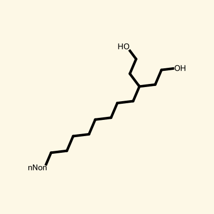 CCCCCCCCCCCCCCCCC[C](CCO)CCO